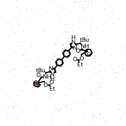 CCC(=O)OCC1(C(=O)N[C@H](c2nc(-c3ccc(-c4ccc(-c5c[nH]c([C@@H](NC(=O)C6(COC(=O)CC)OC7CCC6CC7)C(C)(C)C)n5)cc4)cc3)c[nH]2)C(C)(C)C)OC2CCC1CC2